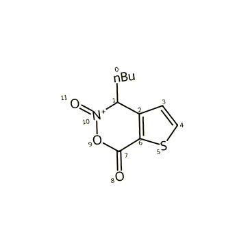 CCCCC1c2ccsc2C(=O)O[N+]1=O